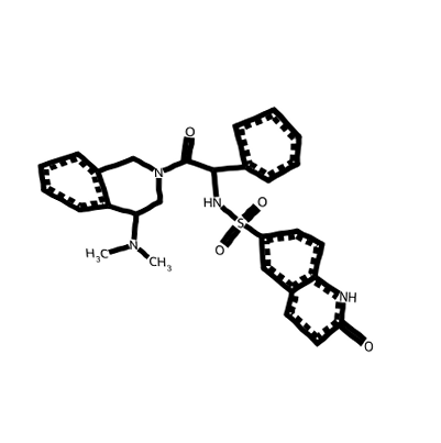 CN(C)C1CN(C(=O)C(NS(=O)(=O)c2ccc3[nH]c(=O)ccc3c2)c2ccccc2)Cc2ccccc21